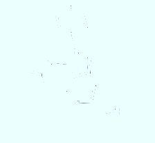 CC(C)(C)OC(=O)Nc1c2ccc(C(N)C(F)(F)F)cc2nn1-c1ccccc1